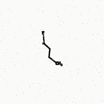 CCC[C]F